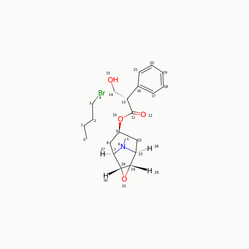 CCCCBr.CN1[C@@H]2C[C@@H](OC(=O)[C@H](CO)c3ccccc3)C[C@H]1[C@@H]1O[C@@H]12